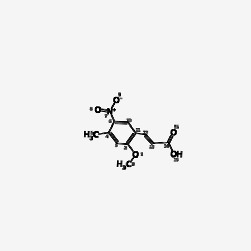 COc1cc(C)c([N+](=O)[O-])cc1/C=C/C(=O)O